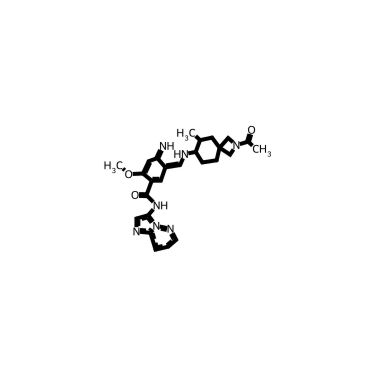 COC1=CC(=N)/C(=C\NC2CCC3(CC2C)CN(C(C)=O)C3)C=C1C(=O)Nc1cnc2cccnn12